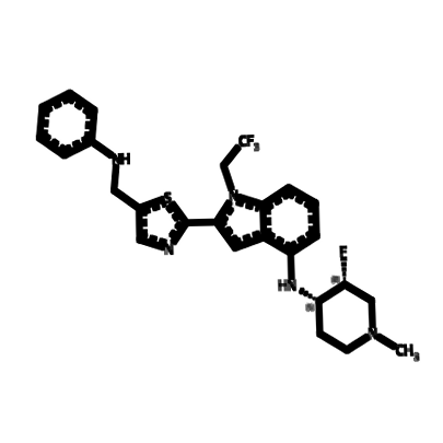 CN1CC[C@H](Nc2cccc3c2cc(-c2ncc(CNc4ccccc4)s2)n3CC(F)(F)F)[C@H](F)C1